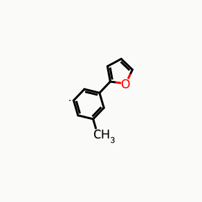 Cc1c[c]cc(-c2ccco2)c1